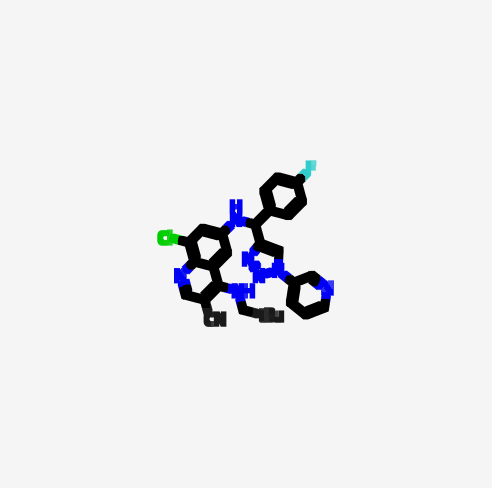 CC(C)(C)CNc1c(C#N)cnc2c(Cl)cc(NC(c3ccc(F)cc3)c3cn(-c4cccnc4)nn3)cc12